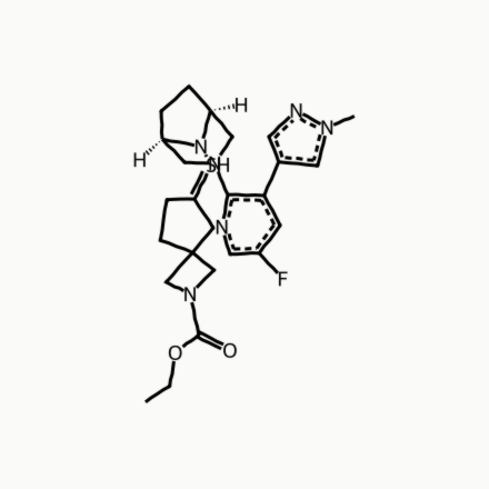 CCOC(=O)N1CC2(CC/C(=[SH]\N3[C@@H]4CC[C@H]3CN(c3ncc(F)cc3-c3cnn(C)c3)C4)C2)C1